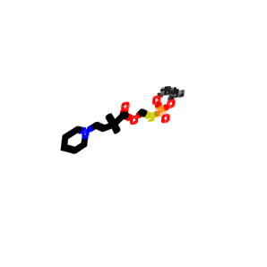 CC(C)(C)OP(=O)(OC(C)(C)C)SCOC(=O)C(C)(C)CCN1CCCCC1